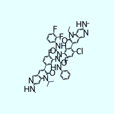 CCn1c(=O)c(-c2cc(N(C(=O)Nc3cccc(F)c3F)N(C(=O)Nc3ccccc3)c3cc(-c4cc5cnc(NC)cc5n(C(C)C)c4=O)ccc3F)c(F)cc2Cl)cc2cnc(NC)cc21